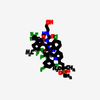 C[C@@H]1Cc2c(C(F)(F)F)nn(CC(=O)N[C@@H](Cc3cc(F)cc(F)c3)c3nc(CCC(C)(C)S(C)(=O)=O)ccc3-c3ccc(Cl)c4c(N(C(=O)NCCO)S(C)(=O)=O)nn(CC(F)(F)F)c34)c2C1(F)F